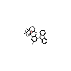 Cc1cc(B2OC(C)(C)C(C)(C)O2)c(OC2CCCCO2)c(-n2c3ccccc3c3ccccc32)c1